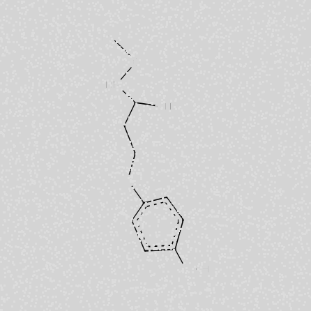 CC(C)ONC(O)CCOc1ccc(C(=O)O)cc1